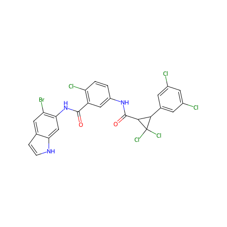 O=C(Nc1cc2[nH]ccc2cc1Br)c1cc(NC(=O)C2C(c3cc(Cl)cc(Cl)c3)C2(Cl)Cl)ccc1Cl